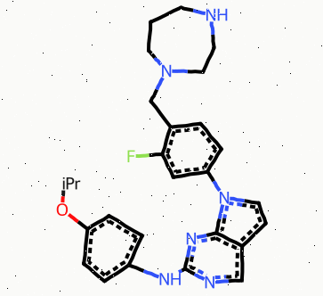 CC(C)Oc1ccc(Nc2ncc3ccn(-c4ccc(CN5CCCNCC5)c(F)c4)c3n2)cc1